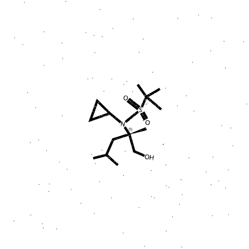 CC(C)C[C@@](C)(CO)N(C1CC1)S(=O)(=O)C(C)(C)C